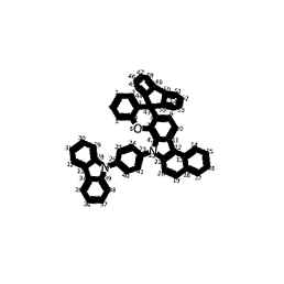 c1ccc2c(c1)Oc1c(ccc3c4c5ccccc5ccc4n(-c4ccc(-n5c6ccccc6c6ccccc65)cc4)c13)C21c2ccccc2-c2ccccc21